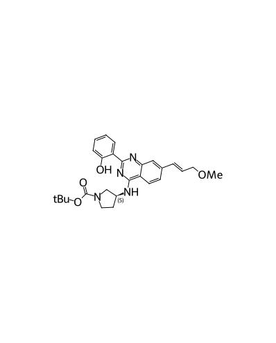 COCC=Cc1ccc2c(N[C@H]3CCN(C(=O)OC(C)(C)C)C3)nc(-c3ccccc3O)nc2c1